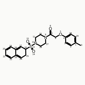 Cc1ccc(OCC(=O)N2CCN(S(=O)(=O)C3C=c4ccccc4=CC3)CC2)cc1